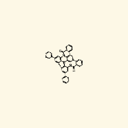 O=c1c2ccccc2c2cc3c4ccccc4c(=O)n4c3c3c2n1-c1cc(-c2ccccc2)cc2c1B3c1c-2cc(-c2ccccc2)cc1-4